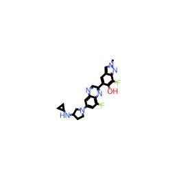 Cn1cc2cc(-c3cnc4cc(N5CCC(NC6CC6)C5)cc(F)c4n3)c(O)c(F)c2n1